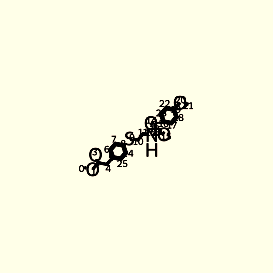 COC(=O)Cc1ccc(SCCNS(=O)(=O)c2ccc(OC)cc2)cc1